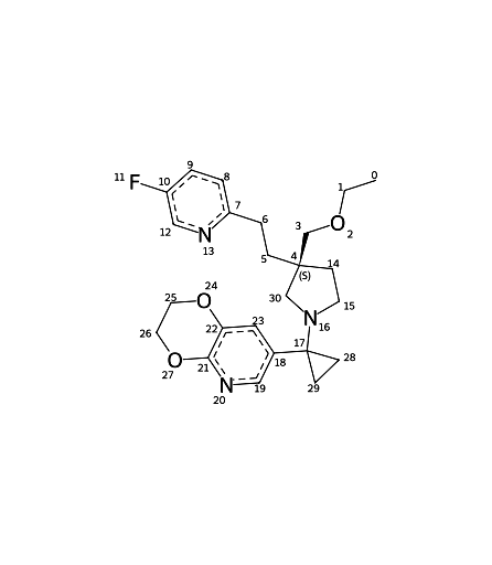 CCOC[C@@]1(CCc2ccc(F)cn2)CCN(C2(c3cnc4c(c3)OCCO4)CC2)C1